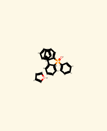 O=P(c1ccccc1)(c1ccccc1)c1ccccc1-c1ccccc1.c1ccoc1